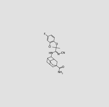 CC(C)(Oc1ccc(F)cc1Cl)C(=NC#N)NC1C2CC3CC1CC(C(N)=O)(C3)C2